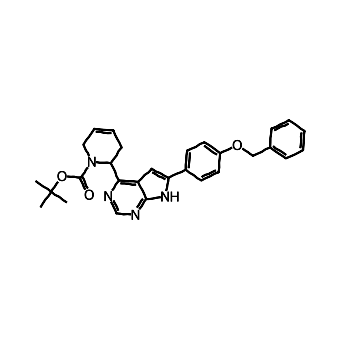 CC(C)(C)OC(=O)N1CC=CCC1c1ncnc2[nH]c(-c3ccc(OCc4ccccc4)cc3)cc12